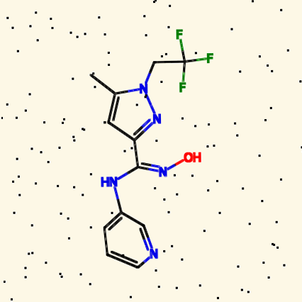 Cc1[c]c(C(=NO)Nc2cccnc2)nn1CC(F)(F)F